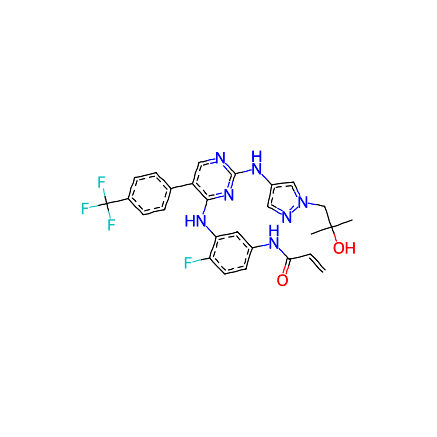 C=CC(=O)Nc1ccc(F)c(Nc2nc(Nc3cnn(CC(C)(C)O)c3)ncc2-c2ccc(C(F)(F)F)cc2)c1